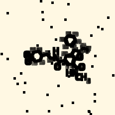 CNC(=O)c1cc(C(=O)NCCC2CCS(=O)(=O)CC2)cc2c1O[C@H](CF)[C@H]2c1ccccc1